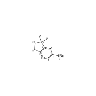 CC(C)(C)c1c[c]c2c(c1)C(C)(C)CC2